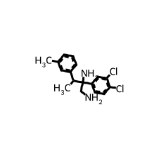 Cc1cccc(C(C)C(N)(CN)c2ccc(Cl)c(Cl)c2)c1